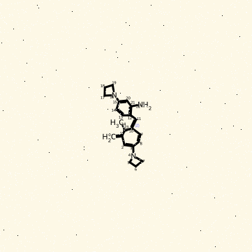 C=C1C=C(N2CCC2)C=C/C(=C/c2ccc(N3CCC3)cc2N)[C@@H]1C